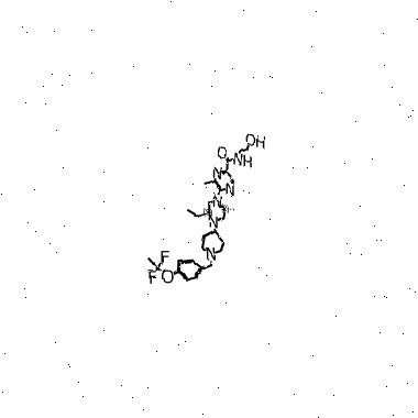 CC[C@H]1CN(c2ncc(C(=O)NCCO)nc2C)[C@H](C)CN1C1CCN(Cc2ccc(OC(C)(F)F)cc2)CC1